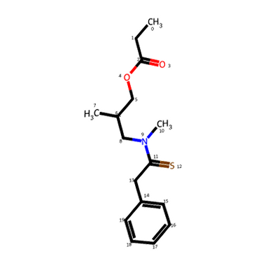 CCC(=O)OC[C](C)CN(C)C(=S)Cc1ccccc1